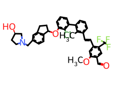 COc1cc(/C=C/c2cccc(-c3cccc(OC4CCc5cc(CN6CC[C@@H](O)C6)ccc54)c3Cl)c2C)c(C(F)(F)F)cc1C=O